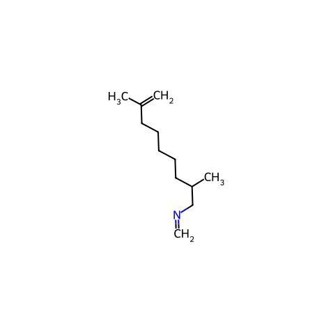 C=NCC(C)CCCCCC(=C)C